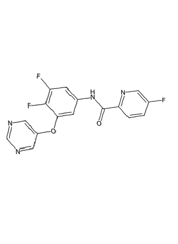 O=C(Nc1cc(F)c(F)c(Oc2cncnc2)c1)c1ccc(F)cn1